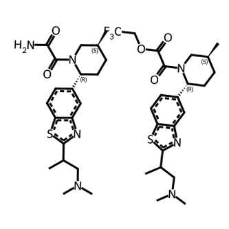 CC(CN(C)C)c1nc2cc([C@H]3CC[C@H](C)CN3C(=O)C(=O)OCC(F)(F)F)ccc2s1.CC(CN(C)C)c1nc2cc([C@H]3CC[C@H](C)CN3C(=O)C(N)=O)ccc2s1